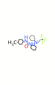 Cc1ccc(NC(=O)Nc2ccccc2N(CCC(F)(F)F)C2CCCCC2)cc1